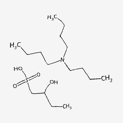 CCC(O)CS(=O)(=O)O.CCCCN(CCCC)CCCC